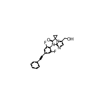 O=C1N(c2c(F)cc(C#Cc3ccccc3)cc2F)c2ncc(CO)n2C12CC2